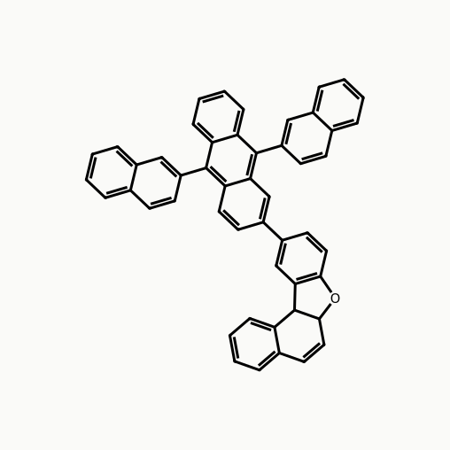 C1=CC2Oc3ccc(-c4ccc5c(-c6ccc7ccccc7c6)c6ccccc6c(-c6ccc7ccccc7c6)c5c4)cc3C2c2ccccc21